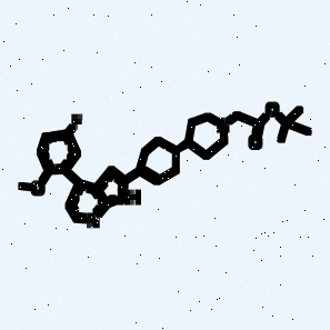 COc1ccc(F)cc1-c1ccnc2[nH]c(C3=CC[C@H](C4CCN(CC(=O)OC(C)(C)C)CC4)CC3)cc12